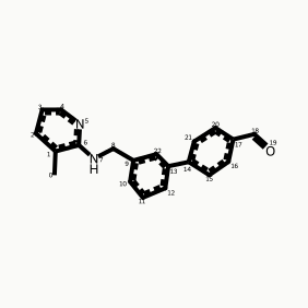 Cc1cccnc1NCc1cccc(-c2ccc(C=O)cc2)c1